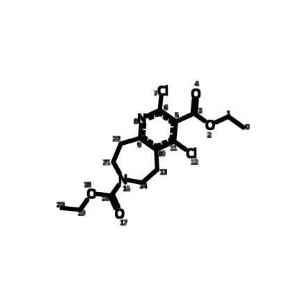 CCOC(=O)c1c(Cl)nc2c(c1Cl)CCN(C(=O)OCC)CC2